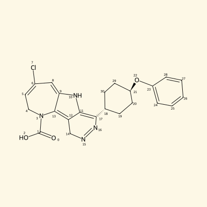 O=C(O)N1CC=C(Cl)C=c2[nH]c3c(c21)CN=NC=3[C@H]1CC[C@H](Oc2ccccc2)CC1